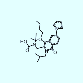 CCCCOc1c(CN(C(=O)O)C(C)(C)C)n(CC(C)C)c(=O)c2ccc(-n3cccc3)cc12